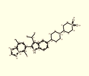 Cc1cc(-c2[nH]c3ccc(C4CCN(C5CCS(=O)(=O)CC5)CC4)cc3c2C(C)C)c(C)n2ncnc12